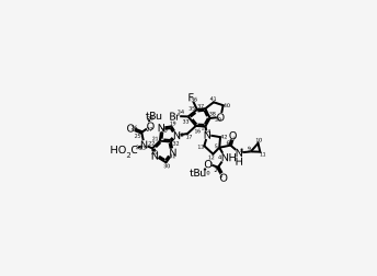 CC(C)(C)OC(=O)NC1(C(=O)NC2CC2)CCN(c2c(Cn3cnc4c(N(C(=O)O)C(=O)OC(C)(C)C)ncnc43)c(Br)c(F)c3c2OCC3)C1